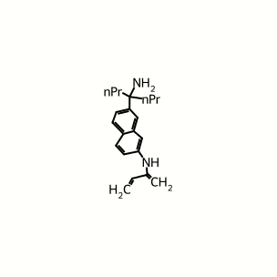 C=CC(=C)Nc1ccc2ccc(C(N)(CCC)CCC)cc2c1